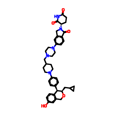 O=C1CC[C@H](N2Cc3cc(N4CCN(CC5CCN(c6ccc([C@@H]7c8ccc(O)cc8CO[C@@H]7CC7CC7)cc6)CC5)CC4)ccc3C2=O)C(=O)N1